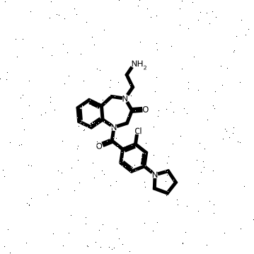 NCCN1Cc2ccccc2N(C(=O)c2ccc(N3CCCC3)cc2Cl)CC1=O